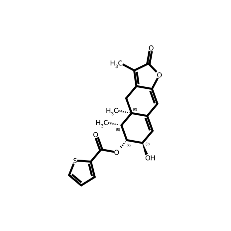 CC1=C2C[C@@]3(C)C(=C[C@@H](O)[C@H](OC(=O)c4cccs4)[C@@H]3C)C=C2OC1=O